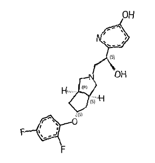 Oc1ccc([C@@H](O)CN2C[C@H]3C[C@H](Oc4ccc(F)cc4F)C[C@H]3C2)nc1